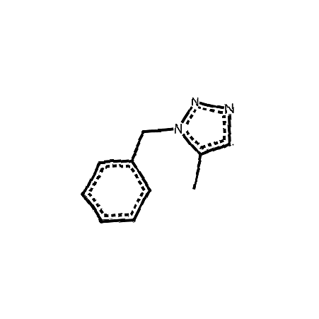 Cc1[c]nnn1Cc1ccccc1